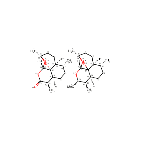 CO[C@H]1O[C@@H]2O[C@]3(C)CC[C@H]4[C@H](C)CC[C@@H]([C@H]1C)C24OO3.C[C@@H]1CC[C@H]2[C@@H](C)C(=O)O[C@@H]3O[C@]4(C)CC[C@@H]1[C@]32OO4